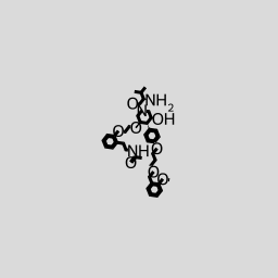 COc1ccccc1COCCCOc1ccc([C@H]2[C@H](O)CN(C(=O)[C@@H](N)C(C)C)C[C@@H]2OCCOc2ccccc2CCNC(C)=O)cc1